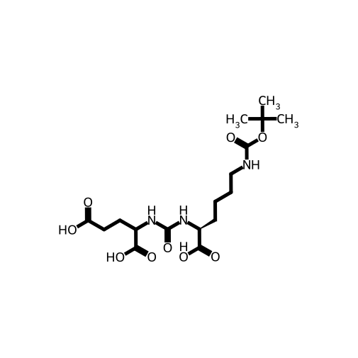 CC(C)(C)OC(=O)NCCCC[C@H](NC(=O)NC(CCC(=O)O)C(=O)O)C(=O)O